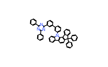 c1ccc(-c2nc(-c3ccccc3)nc(-c3cccc(-c4cccc(-n5c6ccccc6c6ccc7c(c65)-c5ccccc5C7(c5ccccc5)c5ccccc5)c4)c3)n2)cc1